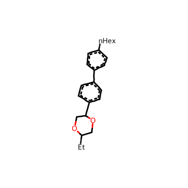 CCCCCCc1ccc(-c2ccc(C3COC(CC)CO3)cc2)cc1